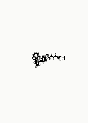 C#CCCCCOc1ccc(-c2ccnn2C2CCCCO2)nc1